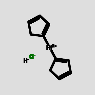 C1=CC[C]([Hf+2][C]2=CC=CC2)=C1.[Cl-].[H-]